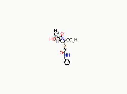 C[C@@H](O)[C@H]1C(=O)N2C(C(=O)O)=C(SC=CC(=O)NCc3ccccc3)C[C@H]12